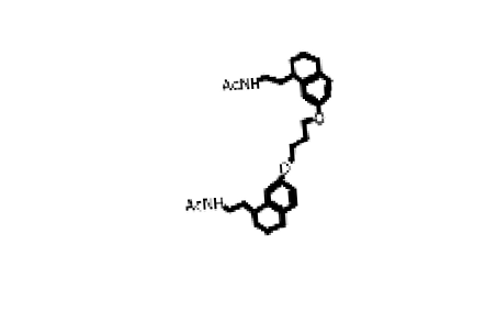 CC(=O)NCCC1CCCc2ccc(OCCCCOc3ccc4c(c3)C(CCNC(C)=O)CCC4)cc21